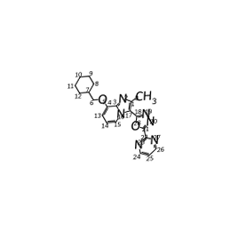 Cc1nc2c(OCC3CCCCC3)cccn2c1-c1nnc(-c2ncccn2)o1